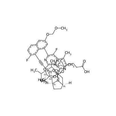 COCOc1cc(-c2nc3c4c(nc(CCC(=O)O)c(C)c4c2F)N2C[C@H]4CC[C@@H]([C@H]2[C@H](C)O3)N4C(=O)OC(C)(C)C)c2c(C#C[Si](C(C)C)(C(C)C)C(C)C)c(F)ccc2c1